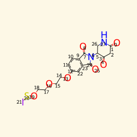 O=C1CC(=O)C(N2C(=O)c3ccc(OCCOCCOSI)cc3C2=O)CN1